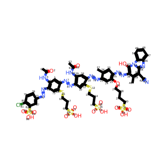 CC(=O)Nc1cc(N=Nc2cc(SCCCS(=O)(=O)O)c(N=Nc3cc(OCCCCS(=O)(=O)O)c(N=Nc4c(C)c(C#N)c5nc6ccccc6n5c4O)cc3C)cc2NC(C)=O)c(SCCCS(=O)(=O)O)cc1N=Nc1ccc(Cl)c(S(=O)(=O)O)c1